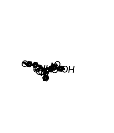 CC[C@@H](c1ccccc1)N1Cc2cc3c(cc2C[C@H]1C(=O)NC(Cc1ccc(-c2ccc(OC)cc2)cc1)C(=O)OC)N(C)C(=O)[C@H](c1ccc(O)cc1)O3